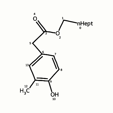 CCCCCCCCOC(=O)Cc1ccc(O)c(C)c1